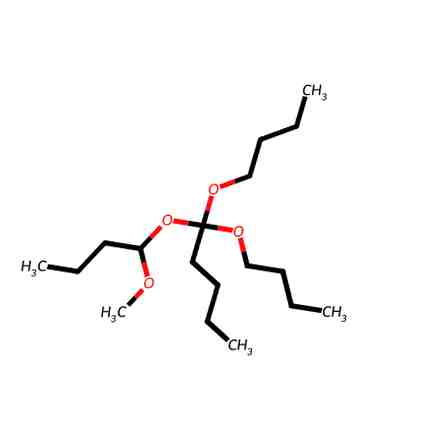 CCCCOC(CCCC)(OCCCC)OC(CCC)OC